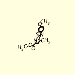 CCOC(=O)c1cc(C)n(-c2nc3ccc(OC)cc3s2)n1